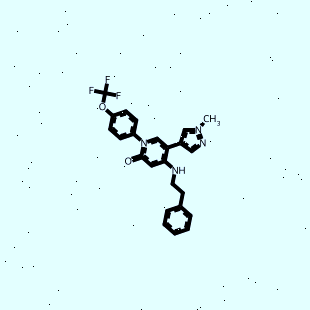 Cn1cc(-c2cn(-c3ccc(OC(F)(F)F)cc3)c(=O)cc2NCCc2ccccc2)cn1